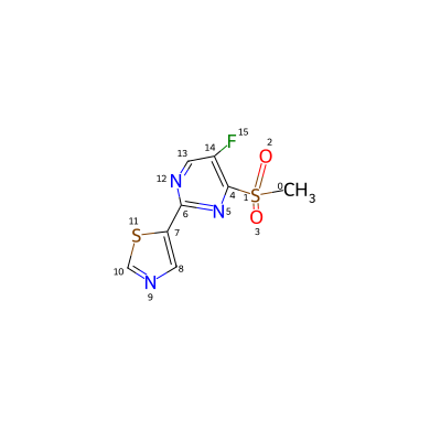 CS(=O)(=O)c1nc(-c2cncs2)ncc1F